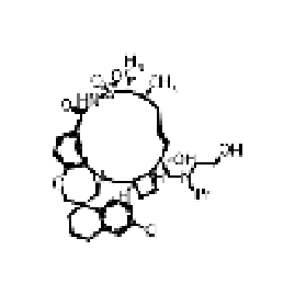 CC(C)N(CCO)C[C@]1(O)/C=C/C[C@H](C)[C@@H](C)S(=O)(=O)NC(=O)c2ccc3c(c2)N(C[C@@H]2CC[C@H]21)C[C@@]1(CCCc2cc(Cl)ccc21)CO3